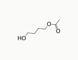 CC(=O)OCCCCO